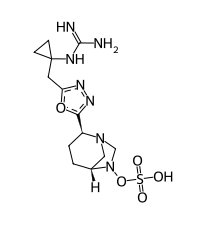 N=C(N)NC1(Cc2nnc([C@@H]3CC[C@@H]4CN3CN4OS(=O)(=O)O)o2)CC1